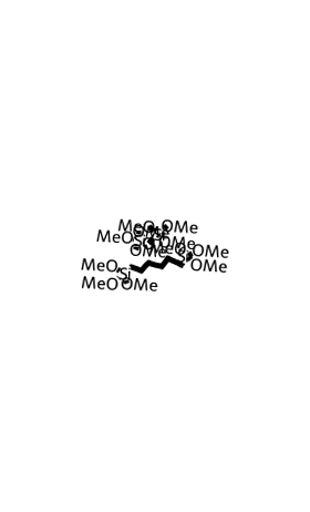 CO[Si](CCCCCC[Si](OC)(OC)OC)(OC)OC.CO[Si](OC)(OC)O[Si](OC)(OC)OC